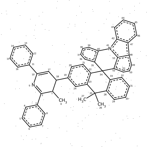 CC1C(c2ccccc2)=NC(c2ccccc2)=CC1c1ccc2c(c1)C(C)(C)c1ccccc1C21c2ccccc2-n2c3ccccc3c3cccc1c32